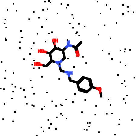 COc1ccc(CNCN2CC(NC(C)=O)[C@@H](O)[C@H](O)C2CO)cc1